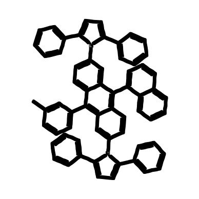 Cc1cccc(-c2c3cc(-n4c(-c5ccccc5)ccc4-c4ccccc4)ccc3c(-c3cccc4ccccc34)c3cc(-n4c(-c5ccccc5)ccc4-c4ccccc4)ccc23)c1